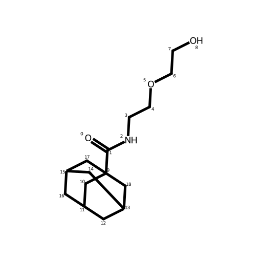 O=C(NCCOCCO)C12CC3CC(CC(C3)C1)C2